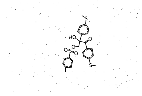 CSc1ccc(C(=O)C(O)(COS(=O)(=O)c2ccc(C)cc2)c2ccc(SC)cc2)cc1